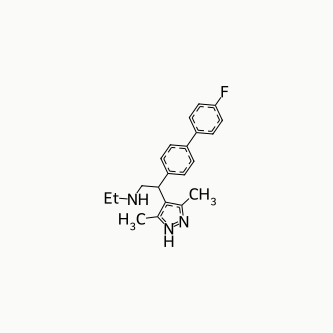 CCNCC(c1ccc(-c2ccc(F)cc2)cc1)c1c(C)n[nH]c1C